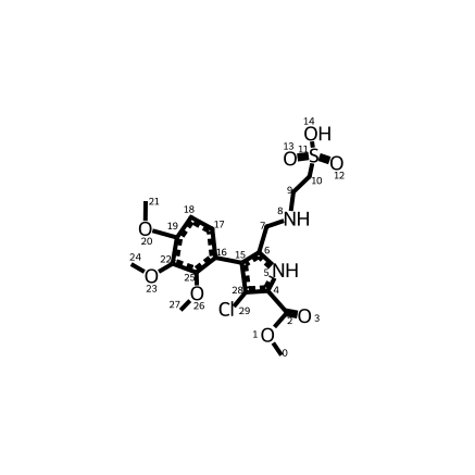 COC(=O)c1[nH]c(CNCCS(=O)(=O)O)c(-c2ccc(OC)c(OC)c2OC)c1Cl